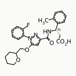 Cc1ccccc1[C@H](CC(=O)O)NC(=O)c1cc(OCC2CCCCO2)n(-c2ccccc2F)n1